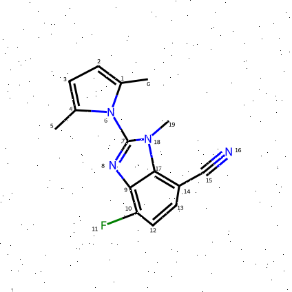 Cc1ccc(C)n1-c1nc2c(F)ccc(C#N)c2n1C